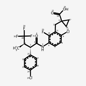 C[C@H]([C@H](C(=O)Nc1ccc(Cl)c(CC2(C(=O)O)CC2)c1F)c1ccc(Cl)cc1)C(F)(F)F